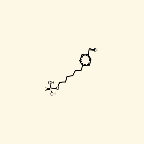 B=Cc1ccc(CCCCCCOP(O)(O)=S)cc1